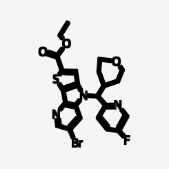 CCOC(=O)c1cc2c(s1)c1ncc(Br)cc1n2C(c1ccc(F)cn1)C1CCOCC1